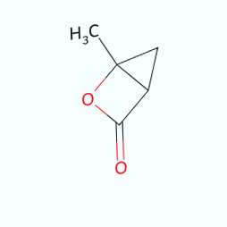 CC12CC1C(=O)O2